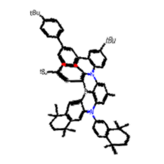 Cc1cc2c3c(c1)N(c1ccc(C(C)(C)C)cc1-c1cccc(-c4ccc(C(C)(C)C)cc4)c1)c1ccc(C(C)(C)C)cc1B3c1cc3c(cc1N2c1ccc2c(c1)C(C)(C)CCC2(C)C)C(C)(C)CCC3(C)C